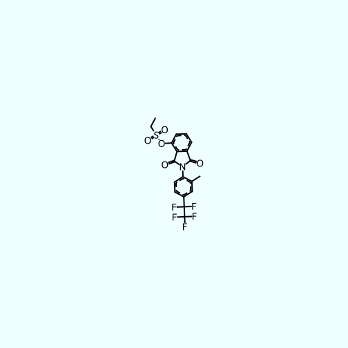 CCS(=O)(=O)Oc1cccc2c1C(=O)N(c1ccc(C(F)(F)C(F)(F)F)cc1C)C2=O